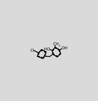 Cc1c(O)ccc(Cc2ccc(Cl)cc2)c1O